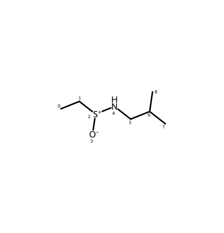 CC[S+]([O-])NCC(C)C